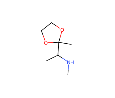 CNC(C)C1(C)OCCO1